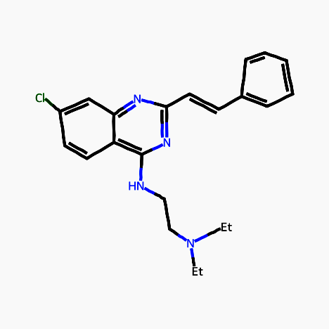 CCN(CC)CCNc1nc(C=Cc2ccccc2)nc2cc(Cl)ccc12